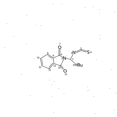 CCCCC(N=C=S)N1C(=O)c2ccccc2C1=O